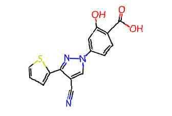 N#Cc1cn(-c2ccc(C(=O)O)c(O)c2)nc1-c1cccs1